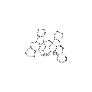 CC(CC1(CC2(CC(C)C(=O)O)c3ccccc3-c3nc4ccccc4nc32)c2ccccc2-c2nc3ccccc3nc21)C(=O)O